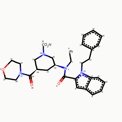 CC(C)CN(C(=O)c1cc2ccccc2n1CCc1ccccc1)[C@H]1C[C@@H](C(=O)N2CCOCC2)CN(C(=O)O)C1